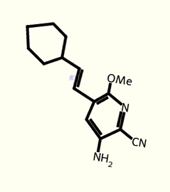 COc1nc(C#N)c(N)cc1/C=C/C1CCCCC1